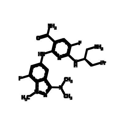 CC(C)C[C@H](CN)Nc1nc(Nc2cc(F)c3c(c2)c(N(C)C)nn3C)c(C(N)=O)cc1F